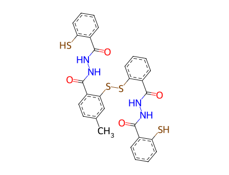 Cc1ccc(C(=O)NNC(=O)c2ccccc2S)c(SSc2ccccc2C(=O)NNC(=O)c2ccccc2S)c1